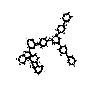 c1ccc(-c2ccc(-c3cc(-c4ccc(-c5ccccc5)cc4)nc(-c4ccc(-c5cccc(-c6nc7ccccc7c7c6ccc6c8ccccc8oc67)c5)cc4)n3)cc2)cc1